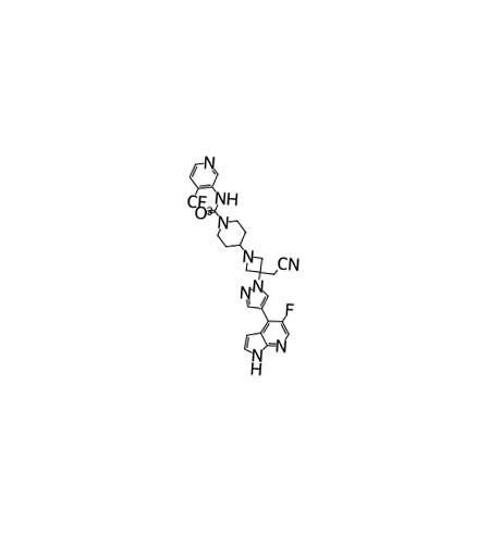 N#CCC1(n2cc(-c3c(F)cnc4[nH]ccc34)cn2)CN(C2CCN(C(=O)Nc3cnccc3C(F)(F)F)CC2)C1